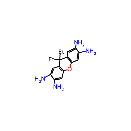 CCC1(CC)c2cc(N)c(N)cc2Oc2cc(N)c(N)cc21